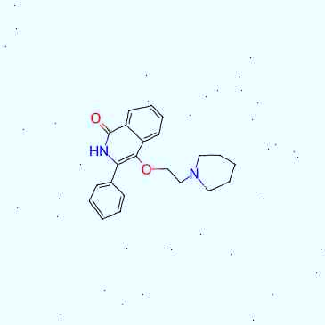 O=c1[nH]c(-c2ccccc2)c(OCCN2CCCCC2)c2ccccc12